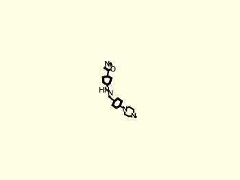 CN1CCN(c2ccc(C=NNc3ccc(-c4cnco4)cc3)cc2)CC1